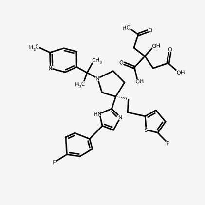 Cc1ccc(C(C)(C)N2CC[C@@](CCc3ccc(F)s3)(c3ncc(-c4ccc(F)cc4)[nH]3)C2)cn1.O=C(O)CC(O)(CC(=O)O)C(=O)O